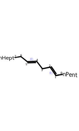 [CH2]CCCC/C=C/C/C=C/CCCCCCCC